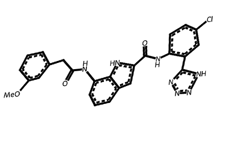 COc1cccc(CC(=O)Nc2cccc3cc(C(=O)Nc4ccc(Cl)cc4-c4nnn[nH]4)[nH]c23)c1